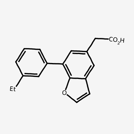 CCc1cccc(-c2cc(CC(=O)O)cc3ccoc23)c1